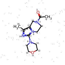 CC(=O)N1CCn2c(N3CCOCC3)nc(C)c2C1